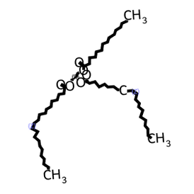 CCCCCCCCCC/C=C\CCCCCCCCCC(=O)OC[C@@H](COC(=O)CCCCCCCCCCCCCC)OC(=O)CCCCCCCCC/C=C\CCCCCCCCCC